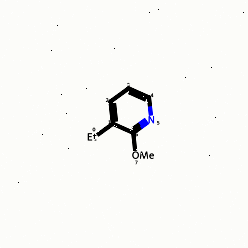 [CH2]Cc1cccnc1OC